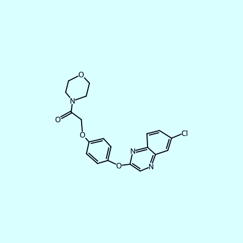 O=C(COc1ccc(Oc2cnc3cc(Cl)ccc3n2)cc1)N1CCOCC1